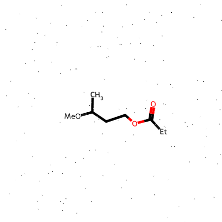 [CH2]CC(=O)OCCC(C)OC